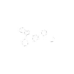 Cc1c(-c2cccc3c2OC2C=CC=CC32)cccc1-c1nc2ccccc2n1-c1ccccc1